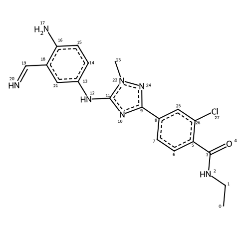 CCNC(=O)c1ccc(-c2nc(Nc3ccc(N)c(C=N)c3)n(C)n2)cc1Cl